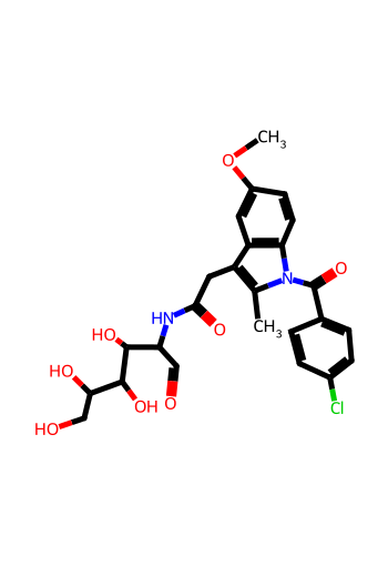 COc1ccc2c(c1)c(CC(=O)NC(C=O)C(O)C(O)C(O)CO)c(C)n2C(=O)c1ccc(Cl)cc1